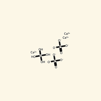 O=P([O-])([O-])[O-].O=P([O-])([O-])[O-].O[Si](O)(O)O.[Ca+2].[Ca+2].[Ca+2]